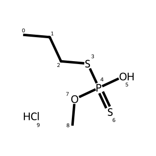 CCCSP(O)(=S)OC.Cl